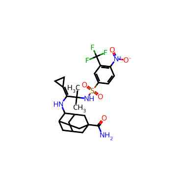 CC(C)(NS(=O)(=O)c1ccc([N+](=O)[O-])c(C(F)(F)F)c1)C(NC1C2CC3CC1CC(C(N)=O)(C3)C2)=C1CC1